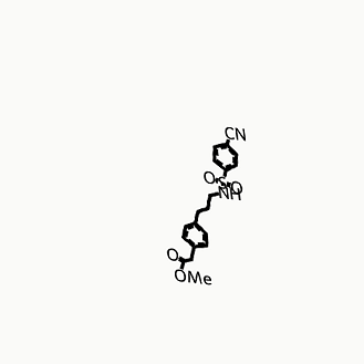 COC(=O)Cc1ccc(CCCNS(=O)(=O)c2ccc(C#N)cc2)cc1